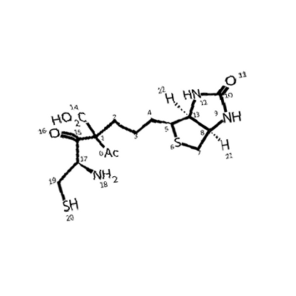 CC(=O)C(CCC[C@@H]1SC[C@@H]2NC(=O)N[C@@H]21)(C(=O)O)C(=O)[C@@H](N)CS